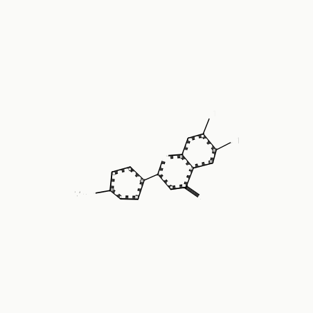 COc1ccc(-c2cc(=O)c3cc(Cl)c(Cl)cc3o2)cc1